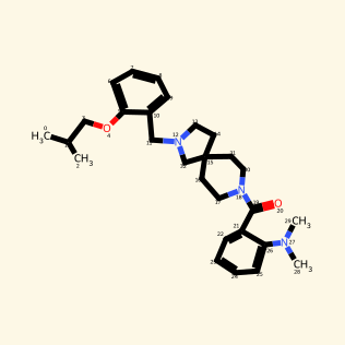 CC(C)COc1ccccc1CN1CCC2(CCN(C(=O)c3ccccc3N(C)C)CC2)C1